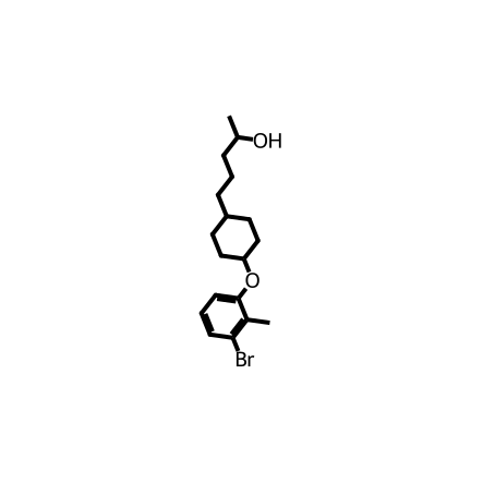 Cc1c(Br)cccc1OC1CCC(CCCC(C)O)CC1